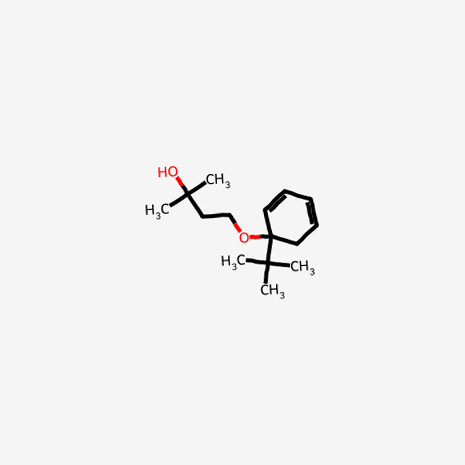 CC(C)(O)CCOC1(C(C)(C)C)C=CC=CC1